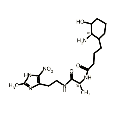 Cc1nc(CCNC(=O)[C@H](C)NC(=O)CCCC2CCCC(O)[C@@H]2N)c([N+](=O)[O-])[nH]1